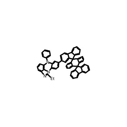 CCc1nc2cccc3c2n1-c1ccc(-c2ccc4c(c2)C2(c5ccccc5-4)c4ccccc4C4(c5ccccc5-c5ccccc54)c4ccccc42)cc1N3c1ccccc1